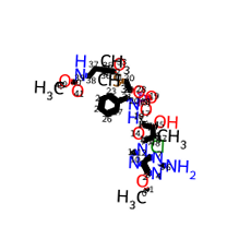 CCOc1nc(N)nc2c1ncn2[C@@H]1O[C@H](CO[P@@](=O)(NCc2ccccc2)OCCSC(=O)C(C)(C)CCNC(=O)OC)[C@@H](O)[C@@]1(C)Cl